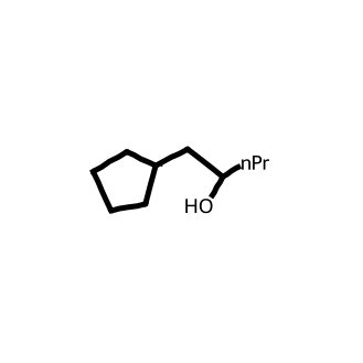 CCCC(O)C[C]1CCCC1